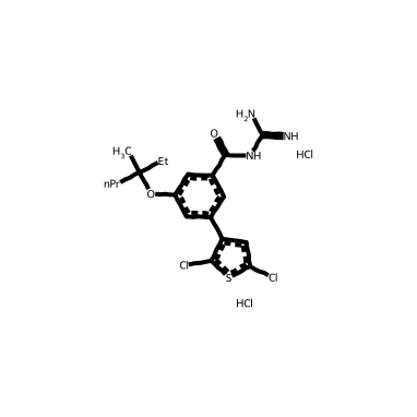 CCCC(C)(CC)Oc1cc(C(=O)NC(=N)N)cc(-c2cc(Cl)sc2Cl)c1.Cl.Cl